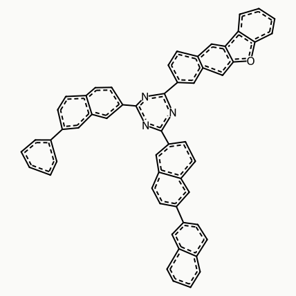 c1ccc(-c2ccc3ccc(-c4nc(-c5ccc6cc(-c7ccc8ccccc8c7)ccc6c5)nc(-c5ccc6cc7c(cc6c5)oc5ccccc57)n4)cc3c2)cc1